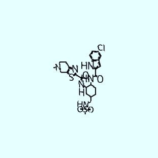 CN1CCc2nc(C(=O)NC3CC(CNS(C)(=O)=O)CCC3NC(=O)c3cc4cc(Cl)ccc4[nH]3)sc2C1